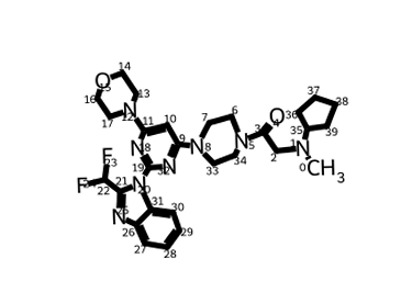 CN(CC(=O)N1CCN(c2cc(N3CCOCC3)nc(-n3c(C(F)F)nc4ccccc43)n2)CC1)C1CCCC1